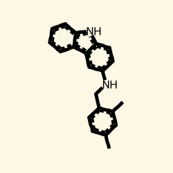 Cc1ccc(CNc2ccc3[nH]c4ccccc4c3c2)c(C)c1